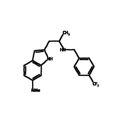 CNc1ccc2cc(CC(C)NCc3ccc(C(F)(F)F)cc3)[nH]c2c1